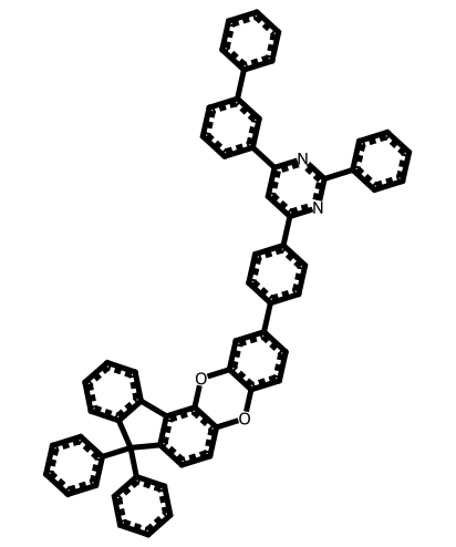 c1ccc(-c2cccc(-c3cc(-c4ccc(-c5ccc6c(c5)Oc5c(ccc7c5-c5ccccc5C7(c5ccccc5)c5ccccc5)O6)cc4)nc(-c4ccccc4)n3)c2)cc1